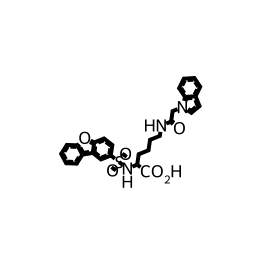 O=C(Cn1ccc2ccccc21)NCCCCC(NS(=O)(=O)c1ccc2oc3ccccc3c2c1)C(=O)O